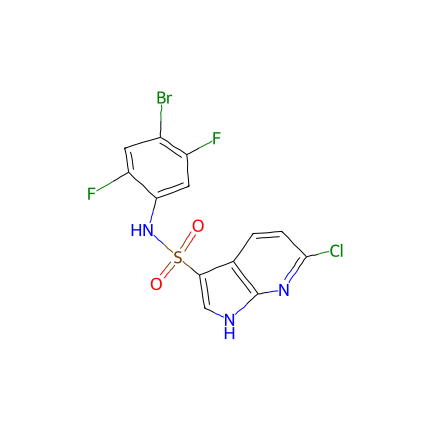 O=S(=O)(Nc1cc(F)c(Br)cc1F)c1c[nH]c2nc(Cl)ccc12